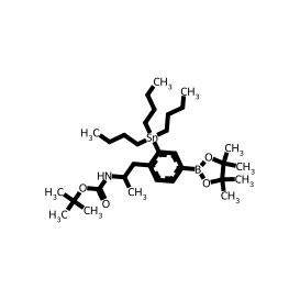 CCC[CH2][Sn]([CH2]CCC)([CH2]CCC)[c]1cc(B2OC(C)(C)C(C)(C)O2)ccc1CC(C)NC(=O)OC(C)(C)C